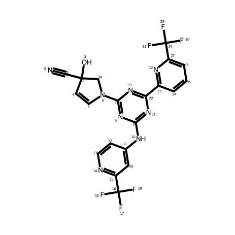 N#CC1(O)C=CN(c2nc(Nc3ccnc(C(F)(F)F)c3)nc(-c3cccc(C(F)(F)F)n3)n2)C1